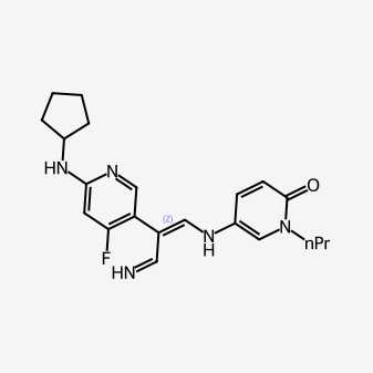 CCCn1cc(N/C=C(\C=N)c2cnc(NC3CCCC3)cc2F)ccc1=O